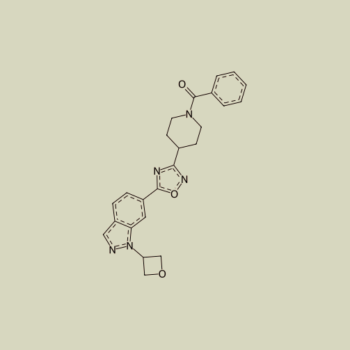 O=C(c1ccccc1)N1CCC(c2noc(-c3ccc4cnn(C5COC5)c4c3)n2)CC1